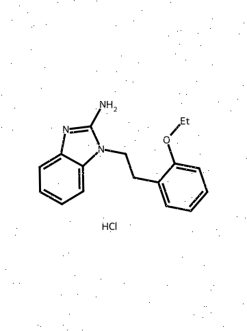 CCOc1ccccc1CCn1c(N)nc2ccccc21.Cl